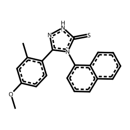 COc1ccc(-c2n[nH]c(=S)n2-c2cccc3ccccc23)c(C)c1